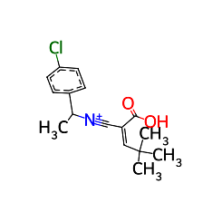 CC([N+]#CC(=CC(C)(C)C)C(=O)O)c1ccc(Cl)cc1